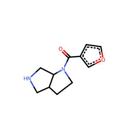 O=C(c1ccoc1)N1CCC2CNCC21